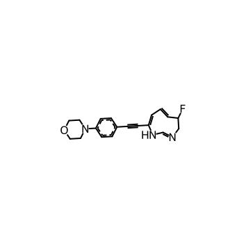 FC1/C=C/C=C(/C#Cc2ccc(N3CCOCC3)cc2)N/C=N/C1